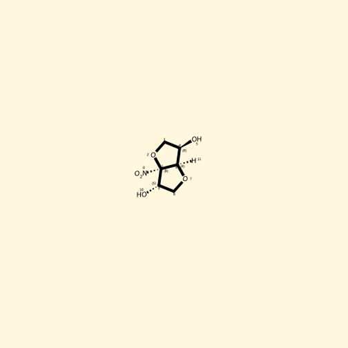 O=[N+]([O-])[C@]12OC[C@@H](O)[C@H]1OC[C@@H]2O